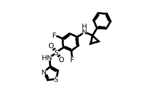 O=S(=O)(Nc1cscn1)c1c(F)cc(NC2(c3ccccc3)CC2)cc1F